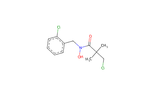 CC(C)(CCl)C(=O)N(O)Cc1ccccc1Cl